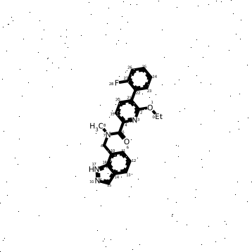 CCOc1nc(C(=O)N(C)Cc2cccc3cn[nH]c23)ccc1-c1ccccc1F